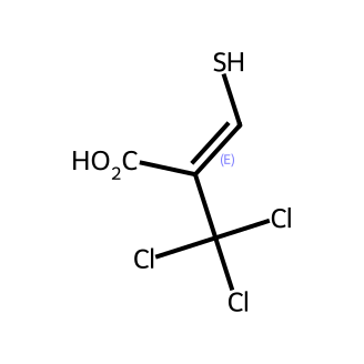 O=C(O)/C(=C\S)C(Cl)(Cl)Cl